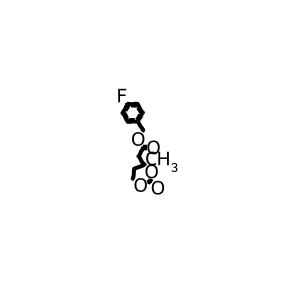 CC1(CC(=O)OCc2ccc(F)cc2)CCOC(=O)O1